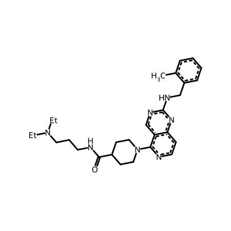 CCN(CC)CCCNC(=O)C1CCN(c2nccc3nc(NCc4ccccc4C)ncc23)CC1